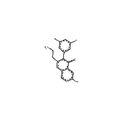 Cc1cc(F)cc(-c2c(CCN)cc3ccc(F)cn3c2=O)c1